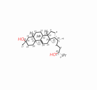 CC(C)[C@H](O)CC[C@@H](C)[C@H]1CC[C@H]2[C@@H]3CC[C@H]4C[C@@](C)(O)CC[C@]4(C)C3=CC[C@]12C